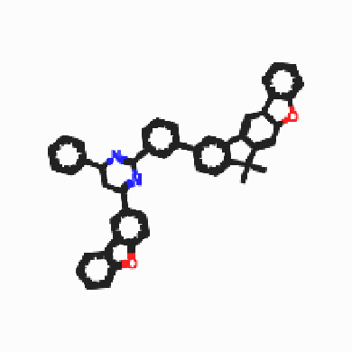 CC1(C)C2=CC3Oc4ccccc4C3C=C2c2cc(-c3cccc(C4=NC(c5ccccc5)CC(c5ccc6oc7ccccc7c6c5)=N4)c3)ccc21